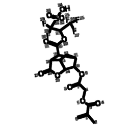 C=C(C)C(=O)OCC(=O)OC1C2CC3C1OC(=O)C3C2C(=O)OC(C(F)(F)F)C(F)(F)S(=O)(=O)O